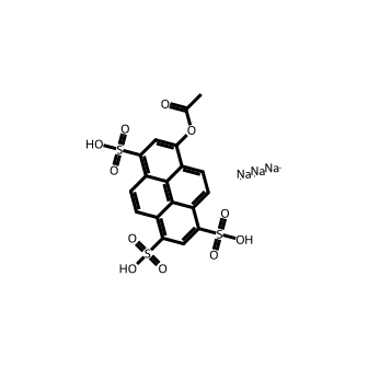 CC(=O)Oc1cc(S(=O)(=O)O)c2ccc3c(S(=O)(=O)O)cc(S(=O)(=O)O)c4ccc1c2c43.[Na].[Na].[Na]